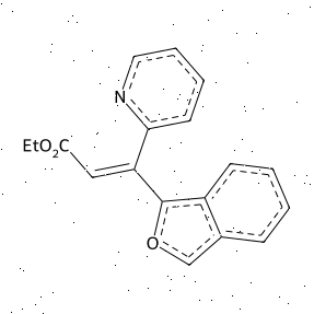 CCOC(=O)C=C(c1ccccn1)c1occ2ccccc12